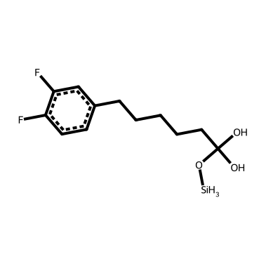 OC(O)(CCCCCc1ccc(F)c(F)c1)O[SiH3]